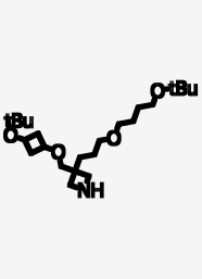 CC(C)(C)OCCCCOCCCC1(COC2CC(OC(C)(C)C)C2)CNC1